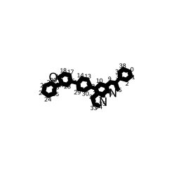 c1ccc(-c2cnc3c(c2)cc(-c2ccc(-c4ccc5oc6ccccc6c5c4)cc2)c2cccnc23)cc1